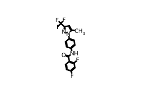 Cc1cc(C(F)(F)I)nn1-c1ccc(NC(=O)c2ccc(F)cc2F)cc1